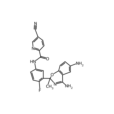 CC1(c2cc(NC(=O)c3ccc(C#N)cn3)ccc2F)N=C(N)c2cc(N)ccc2O1